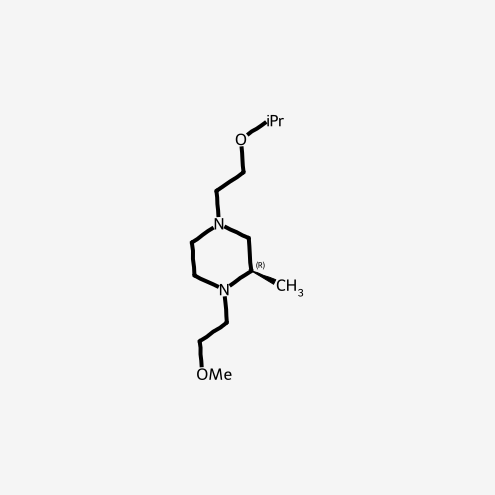 COCCN1CCN(CCOC(C)C)C[C@H]1C